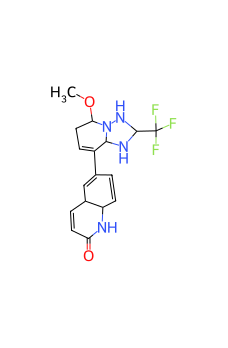 COC1CC=C(C2=CC3C=CC(=O)NC3C=C2)C2NC(C(F)(F)F)NN12